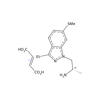 CCc1nn(C[C@H](C)N)c2cc(SC)ccc12.O=C(O)/C=C/C(=O)O